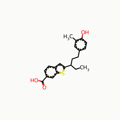 CCC(CCc1ccc(O)c(C)c1)c1cc2ccc(C(=O)O)cc2s1